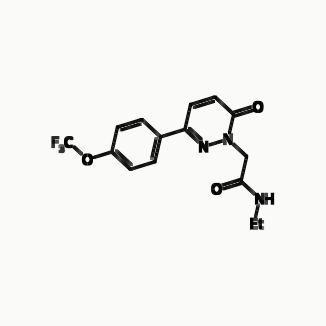 CCNC(=O)Cn1nc(-c2ccc(OC(F)(F)F)cc2)ccc1=O